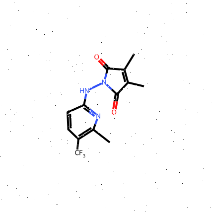 CC1=C(C)C(=O)N(Nc2ccc(C(F)(F)F)c(C)n2)C1=O